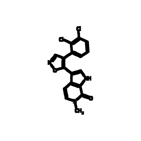 Cn1ccc2c(-c3oncc3-c3cccc(Cl)c3Cl)c[nH]c2c1=O